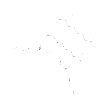 CC(C)CCCCCC(S)C(=O)[O-].CC(C)CCCCCC(S)C(=O)[O-].CCCCOC(=O)C[CH2][Sn+2][CH2]CC(=O)OCCCC